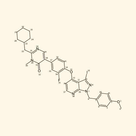 COc1ccc(Cn2nc(I)c3c(Oc4ccc(-c5cnc(CC6CCCCC6)n(C)c5=O)cc4F)ccnc32)cc1